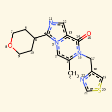 Cc1cn2c(C3CCOCC3)ncc2c(=O)n1Cc1cscn1